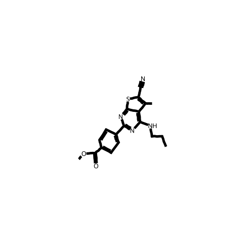 CCCNc1nc(-c2ccc(C(=O)OC)cc2)nc2sc(C#N)c(C)c12